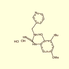 COc1cc(NC(=N)NCc2cccnc2)c(O)c(C(C)(C)C)c1.Cl.Cl